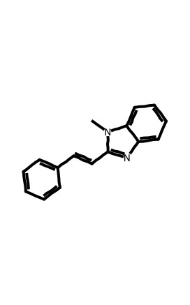 Cn1c(/C=C/c2ccccc2)nc2ccccc21